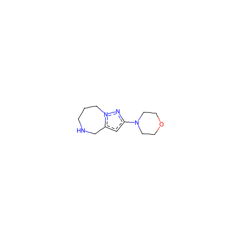 c1c(N2CCOCC2)nn2c1CNCCC2